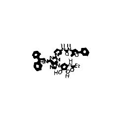 CCC(=O)N[C@H]1C[C@@H](n2cnc3c(NCC(c4ccccc4)c4ccccc4)nc(N4CC[C@@H](NC(=O)Nc5cc(-c6ccccc6)oc5C)C4)nc32)[C@H](O)[C@@H]1O